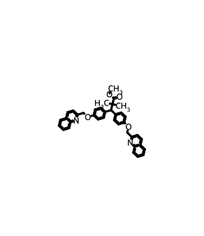 COC(=O)C(C)(C)C(c1ccc(OCc2ccc3ccccc3n2)cc1)c1ccc(OCc2ccc3ccccc3n2)cc1